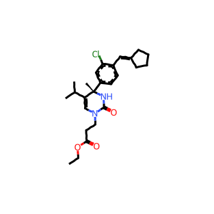 CCOC(=O)CCN1C=C(C(C)C)[C@](C)(c2ccc(C=C3CCCC3)c(Cl)c2)NC1=O